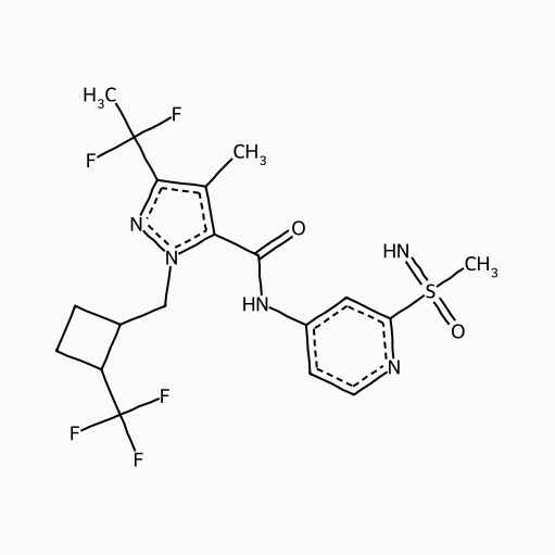 Cc1c(C(C)(F)F)nn(CC2CCC2C(F)(F)F)c1C(=O)Nc1ccnc(S(C)(=N)=O)c1